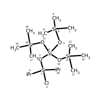 CC(C)[Si](Cl)(O[Si](O[Si](C)(C)C)(O[Si](C)(C)C)O[Si](C)(C)C)C(C)C